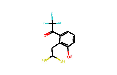 O=C(c1cccc(O)c1CC(S)S)C(F)(F)F